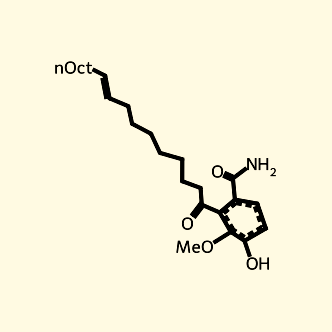 CCCCCCCCC=CCCCCCCCC(=O)c1c(C(N)=O)ccc(O)c1OC